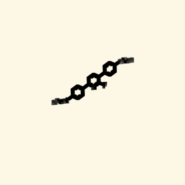 CCCCCCCCCc1ccc(-c2ccc(-c3ccc(CCCCC)cc3)nc2F)cc1